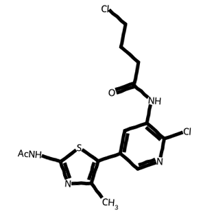 CC(=O)Nc1nc(C)c(-c2cnc(Cl)c(NC(=O)CCCCl)c2)s1